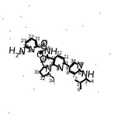 CC(C)C(C)Nc1ccc(-c2ccc(C(=O)NS(=O)(=O)c3cccc(N)n3)c(N3[C@H](C)CC[C@@H]3C)n2)cn1